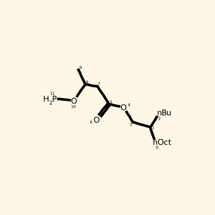 CCCCCCCCC(CCCC)COC(=O)CC(C)OP